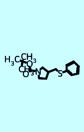 CC(C)(C)OC(=O)N1CCC(CSc2ccccc2)C1